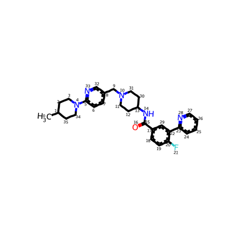 CC1CCN(c2ccc(CN3CCC(NC(=O)c4ccc(F)c(-c5ccccn5)c4)CC3)cn2)CC1